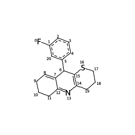 Fc1cccc(C2C3=CCCCC3=NC3=C2SCCC3)c1